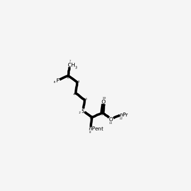 CCCCCC(SCCCC(C)F)C(=O)OCCC